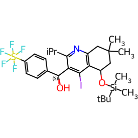 CC(C)c1nc2c(c(I)c1[C@@H](O)c1ccc(S(F)(F)(F)(F)F)cc1)C(O[Si](C)(C)C(C)(C)C)CC(C)(C)C2